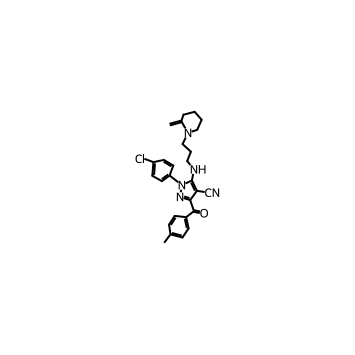 C=C1CCCCN1CCCNc1c(C#N)c(C(=O)c2ccc(C)cc2)nn1-c1ccc(Cl)cc1